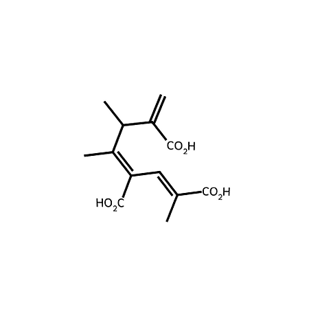 C=C(C(=O)O)C(C)C(C)=C(C=C(C)C(=O)O)C(=O)O